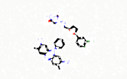 Cc1cc2nc3cc(C)c(N)cc3[n+](-c3ccccc3)c2cc1N.O=C1CN(/N=C/c2ccc(-c3ccc(Cl)c(Cl)c3)o2)C(=O)N1